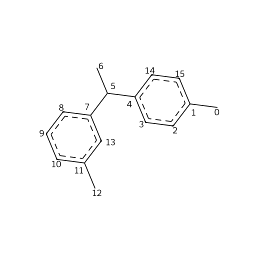 Cc1ccc(C(C)c2cccc(C)c2)cc1